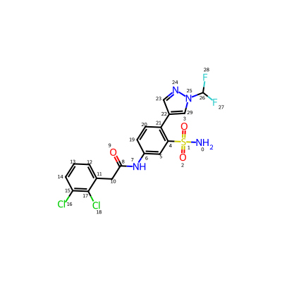 NS(=O)(=O)c1cc(NC(=O)Cc2cccc(Cl)c2Cl)ccc1-c1cnn(C(F)F)c1